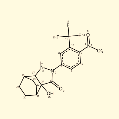 O=C1N(c2ccc([N+](=O)[O-])c(C(F)(F)F)c2)NC2C3CCC(CC3)C12O